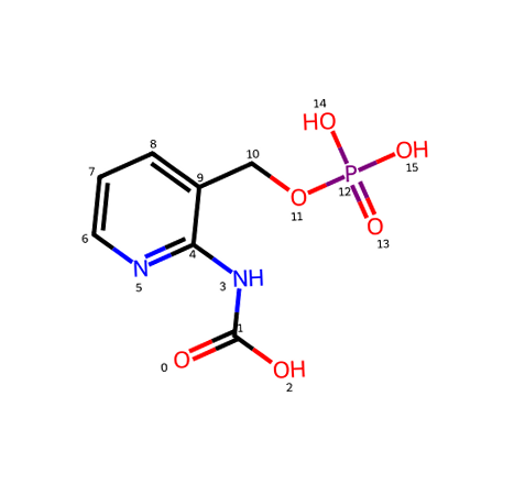 O=C(O)Nc1ncccc1COP(=O)(O)O